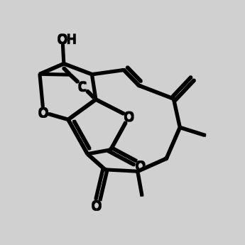 C=C1/C=C/C2C(O)C3OC4=C(C(=O)OC42CC3C)C(=O)C(C)CC1C